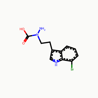 NN(CCc1c[nH]c2c(Br)cccc12)C(=O)O